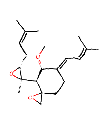 CO[C@@H]1C(=CC=C(C)C)CC[C@]2(CO2)[C@H]1[C@@]1(C)O[C@@H]1CC=C(C)C